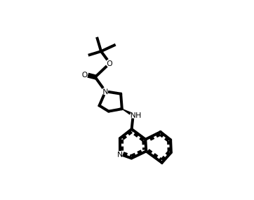 CC(C)(C)OC(=O)N1CC[C@H](Nc2cncc3ccccc23)C1